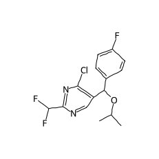 CC(C)OC(c1ccc(F)cc1)c1cnc(C(F)F)nc1Cl